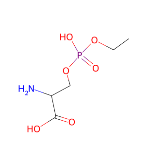 CCOP(=O)(O)OCC(N)C(=O)O